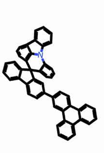 c1ccc2c(c1)-c1ccc(-c3ccc4c5ccccc5c5ccccc5c4c3)cc1C21c2ccccc2-n2c3ccccc3c3cccc1c32